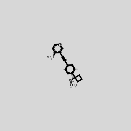 COc1ccncc1C#Cc1ccc(C2(NC(=O)O)CCC2)cc1